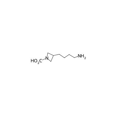 NCCCCC1CN(C(=O)O)C1